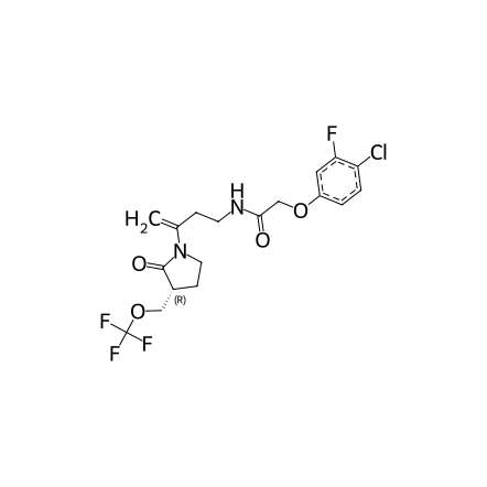 C=C(CCNC(=O)COc1ccc(Cl)c(F)c1)N1CC[C@H](COC(F)(F)F)C1=O